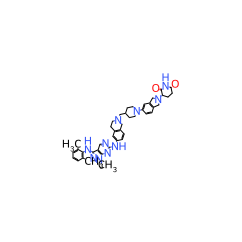 Cc1cccc(C)c1Nc1nn(C)c2nc(Nc3ccc4c(c3)CCN(CC3CCN(c5ccc6c(c5)CN(C5CCC(=O)NC5=O)C6)CC3)C4)ncc12